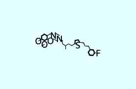 COc1ccc(CN2CCN(CCC(C)CCc3ccc(CCCc4cccc(F)c4)s3)CC2)c(OC)c1OC